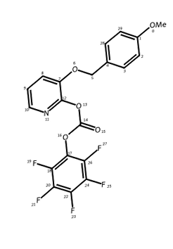 COc1ccc(COc2cccnc2OC(=O)Oc2c(F)c(F)c(F)c(F)c2F)cc1